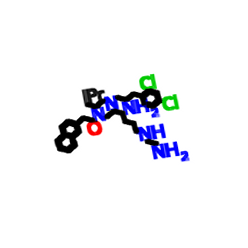 CC(C)CC1CN(CC(N)Cc2ccc(Cl)cc2Cl)C(CCCCNCCN)CN1C(=O)Cc1ccc2ccccc2c1